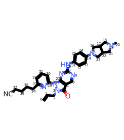 C=CCn1c(=O)c2cnc(Nc3ccc(N4CC5CN(C)CC5C4)cc3)nc2n1-c1cccc(CCCCC#N)n1